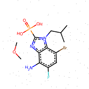 CC(C)Cn1c(P(=O)(O)O)nc2c(N)c(F)cc(Br)c21.COC